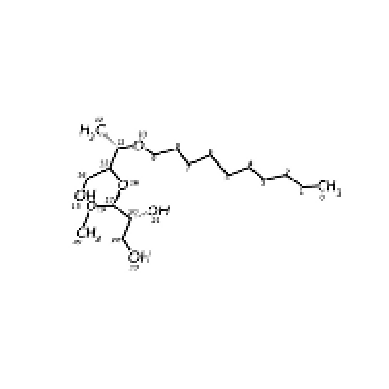 CCCCCCCCCCO[C@@H](C)C(CO)O[C@H](OC)[C@H](O)CO